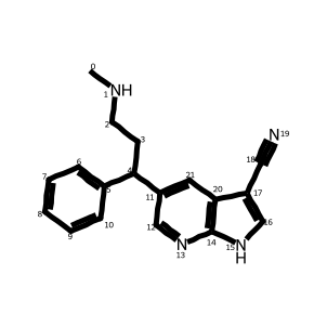 CNCCC(c1ccccc1)c1cnc2[nH]cc(C#N)c2c1